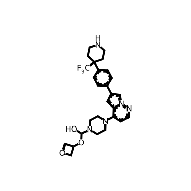 OC(OC1COC1)N1CCN(c2ccnn3cc(-c4ccc(C5(C(F)(F)F)CCNCC5)cc4)cc23)CC1